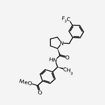 COC(=O)c1ccc([C@H](C)NC(=O)[C@H]2CCCN2Cc2cccc(C(F)(F)F)c2)cc1